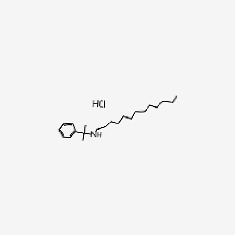 CCCCCCCCCCCCCNC(C)(C)c1ccccc1.Cl